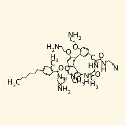 CCCCCCc1ccc(C(=O)N2C[C@@H](N)C[C@H]2C(=O)N(C)[C@@H]2C(=O)N[C@@H](C)C(=O)N[C@H](C(=O)NCC#N)Cc3ccc(OCCN)c(c3)-c3cc2ccc3OCCN)c(C)c1